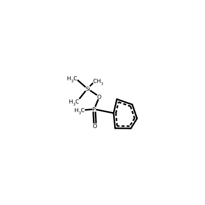 C[Si](C)(C)OP(C)(=O)c1ccccc1